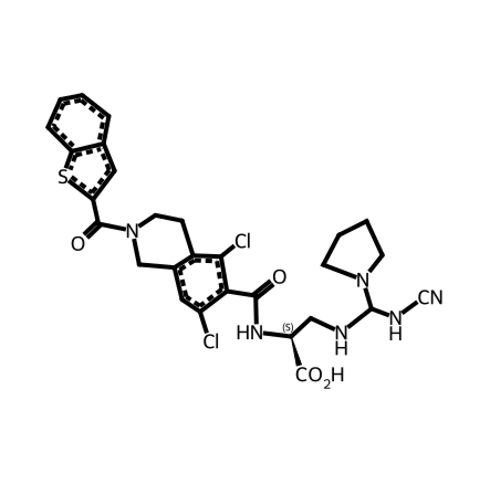 N#CNC(NC[C@H](NC(=O)c1c(Cl)cc2c(c1Cl)CCN(C(=O)c1cc3ccccc3s1)C2)C(=O)O)N1CCCC1